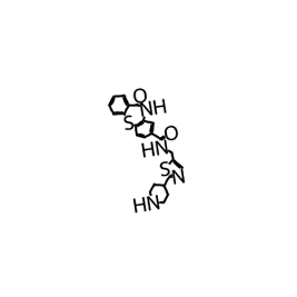 O=C(NCc1cnc(C2CCNCC2)s1)c1ccc2c(c1)NC(=O)c1ccccc1S2